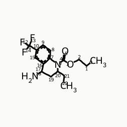 CCCOC(=O)N1c2ccc(C(F)(F)F)cc2C(N)CC1CC